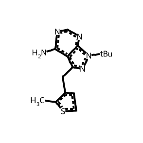 Cc1sccc1Cc1nn(C(C)(C)C)c2ncnc(N)c12